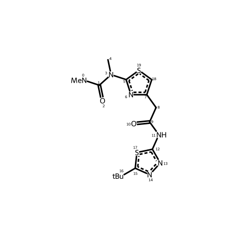 CNC(=O)N(C)c1nc(CC(=O)Nc2nnc(C(C)(C)C)s2)cs1